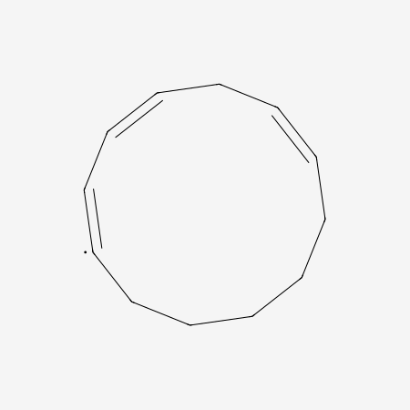 [C]1=CC=CCC=CCCCCC1